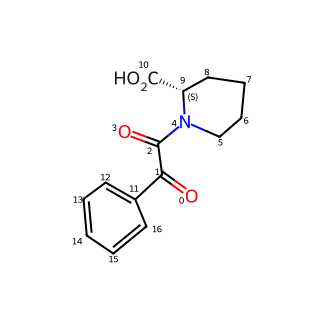 O=C(C(=O)N1CCCC[C@H]1C(=O)O)c1ccccc1